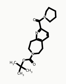 CC(C)(C)OC(=O)N1CCc2ccc(C(=O)N3CCCCC3)nc2CC1